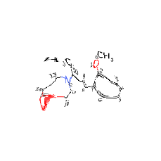 COc1ccccc1C=CC(C)N1CCOCC1